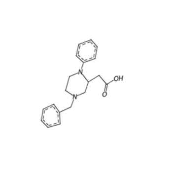 O=C(O)CC1CN(Cc2ccccc2)CCN1c1ccccc1